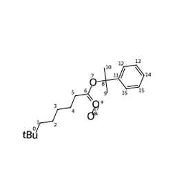 CC(C)(C)CCCCCC(OC(C)(C)c1ccccc1)=[O+][O-]